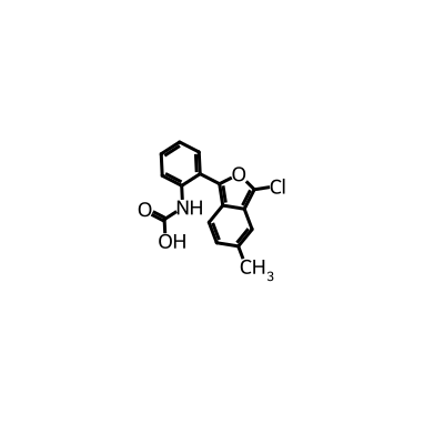 Cc1ccc2c(-c3ccccc3NC(=O)O)oc(Cl)c2c1